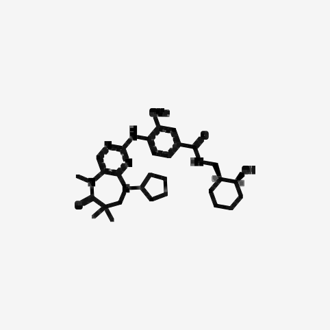 COc1cc(C(=O)NC[C@@H]2CCCC[C@@H]2O)ccc1Nc1ncc2c(n1)N(C1CCCC1)CC(C)(C)C(=O)N2C